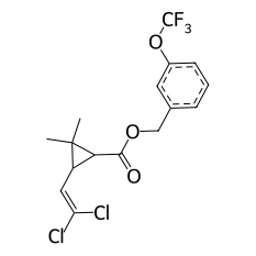 CC1(C)C(C=C(Cl)Cl)C1C(=O)OCc1cccc(OC(F)(F)F)c1